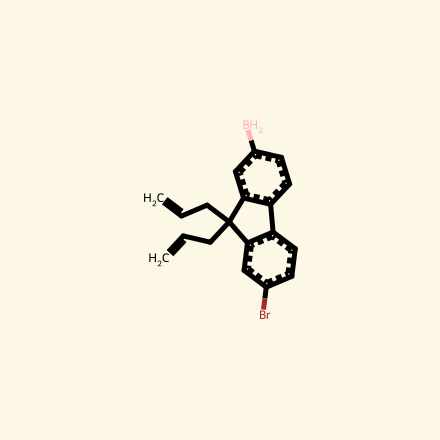 Bc1ccc2c(c1)C(CC=C)(CC=C)c1cc(Br)ccc1-2